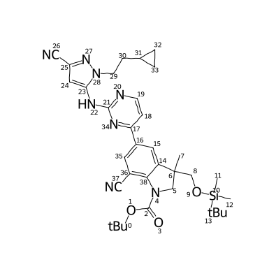 CC(C)(C)OC(=O)N1CC(C)(CO[Si](C)(C)C(C)(C)C)c2cc(-c3ccnc(Nc4cc(C#N)nn4CCC4CC4)n3)cc(C#N)c21